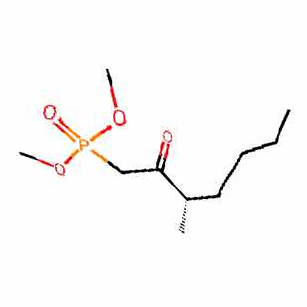 CCCC[C@H](C)C(=O)CP(=O)(OC)OC